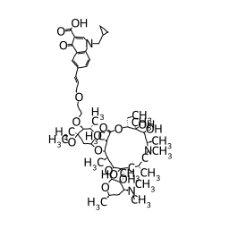 CC[C@H]1OC(=O)[C@H](C)[C@@H](OC2C[C@@](C)(OC)[C@@H](OCCOCC=Cc3ccc4c(c3)c(=O)c(C(=O)O)cn4CC3CC3)[C@H](C)O2)[C@H](C)[C@@H](O[C@@H]2O[C@H](C)C[C@H](N(C)C)[C@H]2O)[C@](C)(O)C[C@@H](C)CN(C)[C@H](C)[C@H](O)[C@]1(C)O